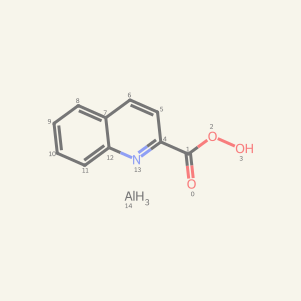 O=C(OO)c1ccc2ccccc2n1.[AlH3]